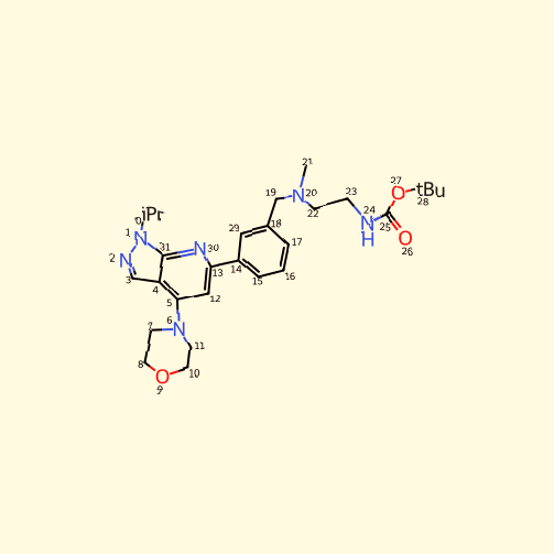 CC(C)n1ncc2c(N3CCOCC3)cc(-c3cccc(CN(C)CCNC(=O)OC(C)(C)C)c3)nc21